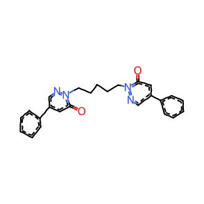 O=c1cc(-c2ccccc2)cnn1CCCCCn1ncc(-c2ccccc2)cc1=O